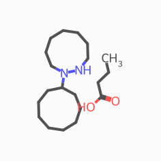 C1CCCCC(N2CCCCCCCN2)CCC1.CCCC(=O)O